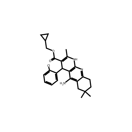 CC1=C(C(=O)OCC2CC2)C(c2ccccc2Cl)c2c(nc3c(c2N)CC(C)(C)CC3)N1